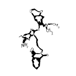 CN(C)c1cc2c(cc1Sc1nc3cnc(N)nc3n1CCCN1C(=O)c3ccccc3C1=O)OCO2